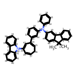 CC1(C)c2ccccc2-c2cc(N(c3ccccc3)c3cccc(C4=CCC=CC(n5c6ccccc6c6ccccc65)=C4)c3)ccc21